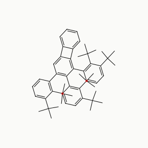 CC(C)(C)c1cccc(-c2cc3c(c(-c4cccc(C(C)(C)C)c4C(C)(C)C)c2-c2cccc(C(C)(C)C)c2C(C)(C)C)-c2ccccc2-3)c1C(C)(C)C